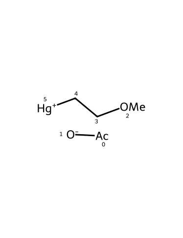 CC(=O)[O-].COC[CH2][Hg+]